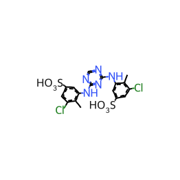 Cc1c(Cl)cc(S(=O)(=O)O)cc1Nc1ncnc(Nc2cc(S(=O)(=O)O)cc(Cl)c2C)n1